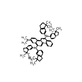 CC(C)c1ccc2c(c1)c(N(c1ccc3c(c1)C(C)(C)CC3)c1ccc3c(c1)C(C)(C)CC3)cc1c3ccccc3c(N(c3ccc4c(c3)C(C)(C)CC4)c3ccc4c(c3)C(C)(C)CC4)cc21